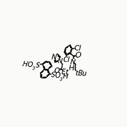 CC(C)(C)CCNC(=O)c1c(Cl)cccc1Cl.CCC(=O)Cn1ccnc1.O=S(=O)(O)c1cccc2c(S(=O)(=O)O)cccc12